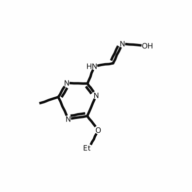 CCOc1nc(C)nc(NC=NO)n1